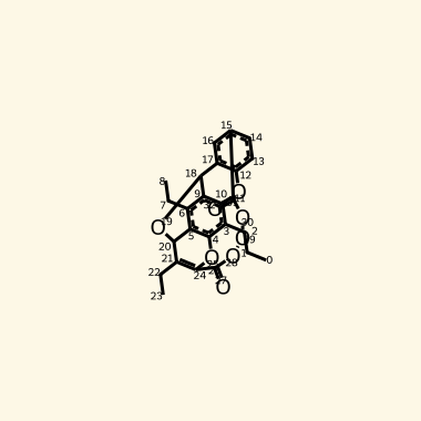 CCCc1c2c3c(CC)c4c1Oc1ccc5cc1C4OC3C(CC)=C(O2)C(=O)OOOC5=O